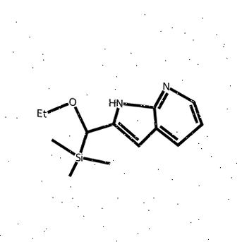 CCOC(c1cc2cccnc2[nH]1)[Si](C)(C)C